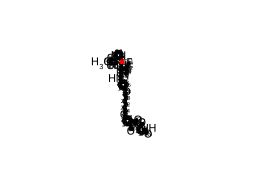 CN(c1nccnc1CNc1nc(Nc2ccc(OCCCCCCOc3ccc4c(c3)C(=O)N(C3CCC(=O)NC3=O)C4=O)cc2)ncc1C(F)(F)F)S(C)(=O)=O